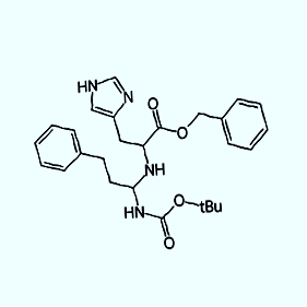 CC(C)(C)OC(=O)NC(CCc1ccccc1)NC(Cc1c[nH]cn1)C(=O)OCc1ccccc1